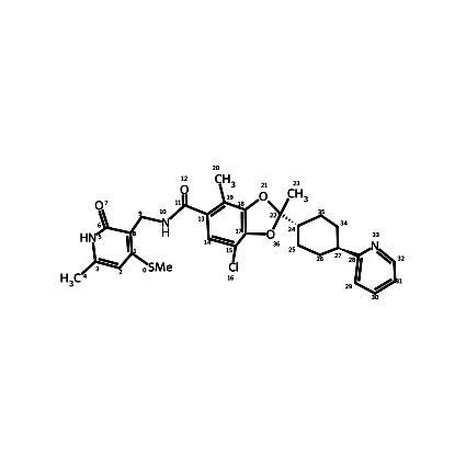 CSc1cc(C)[nH]c(=O)c1CNC(=O)c1cc(Cl)c2c(c1C)OC(C)([C@H]1CC[C@H](c3ccccn3)CC1)O2